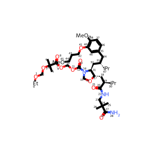 CCOCOC(C)(C)C(=O)OCOC(=O)N1CO[C@@H](C[C@H](C(=O)NCC(C)(C)C(N)=O)C(C)C)[C@@H]1C[C@H](Cc1ccc(OC)c(OCCCOC)c1)C(C)C